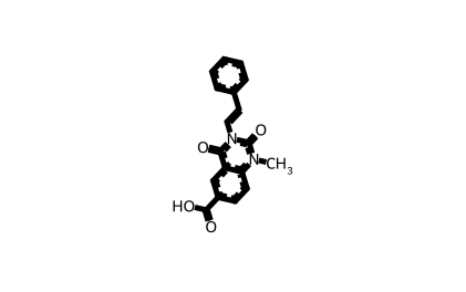 Cn1c(=O)n(C=Cc2ccccc2)c(=O)c2cc(C(=O)O)ccc21